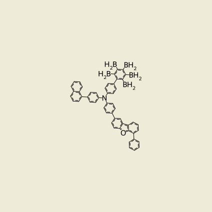 Bc1c(B)c(B)c(-c2ccc(N(c3ccc(-c4ccc5oc6c(-c7ccccc7)cccc6c5c4)cc3)c3ccc(-c4cccc5ccccc45)cc3)cc2)c(B)c1B